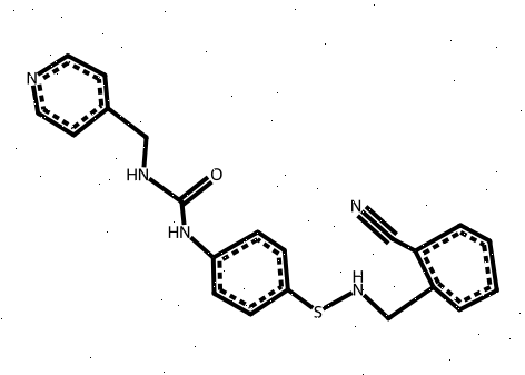 N#Cc1ccccc1CNSc1ccc(NC(=O)NCc2ccncc2)cc1